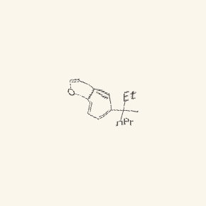 CCCC(C)(CC)c1ccc2occc2c1